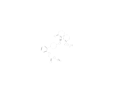 CC(C)(C)OC(=O)COc1ccccc1C1CCC(OCC2N(C(=O)O)CCCC23CCCC(=O)N3)CC1